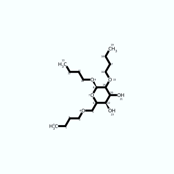 CCCCOCC1O[C@@H](OCCCC)C(OCCCC)C(O)[C@H]1O